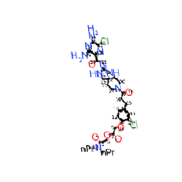 CCCN(CCC)C(=O)COC(=O)COc1ccc(CCC(=O)N2CCC3(CC2)CN/C(=N\C(=O)c2nc(Cl)c(N)nc2N)N3)cc1Cl